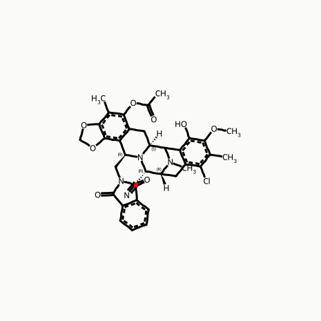 COc1c(C)c(Cl)c2c(c1O)C1[C@@H]3Cc4c(OC(C)=O)c(C)c5c(c4[C@H](CN4C(=O)c6ccccc6C4=O)N3[C@@H](C#N)[C@@H](C2)N1C)OCO5